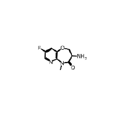 CN1C(=O)C(N)COc2cc(F)cnc21